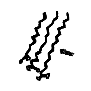 CCCCCCCCCCCC(=O)[O-].CCCCCCCCCCCCCC(=O)[O-].CCCCCCCCCCCCCCCC(=O)[O-].[K+].[K+].[K+]